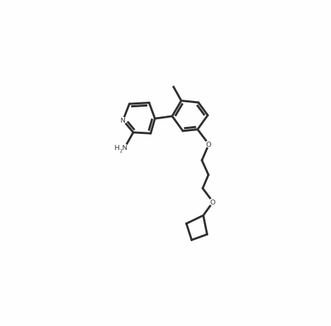 Cc1ccc(OCCCOC2CCC2)cc1-c1ccnc(N)c1